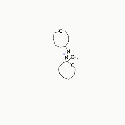 COC1(/N=N/C2CCCCCCCC2)CCCCCCCC1